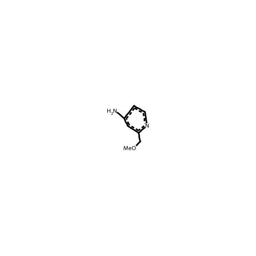 COCc1cc(N)ccn1